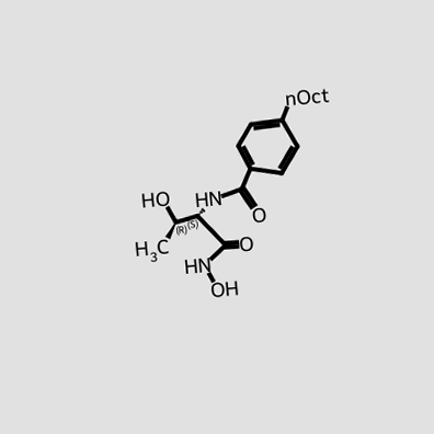 CCCCCCCCc1ccc(C(=O)N[C@H](C(=O)NO)[C@@H](C)O)cc1